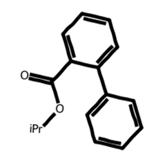 CC(C)OC(=O)c1ccccc1-c1ccccc1